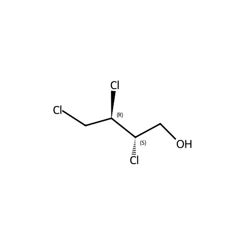 OC[C@H](Cl)[C@H](Cl)CCl